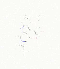 Cc1nc(C(O)c2c(C(C)C)nc3c(c2C2=CCOCC2)[C@@H](O[Si](C)(C)C(C)(C)C)CC(C)(C)C3)sc1C(C)(C)C